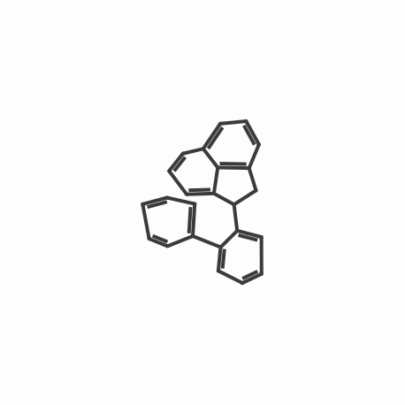 c1ccc(-c2ccccc2C2Cc3cccc4cccc2c34)cc1